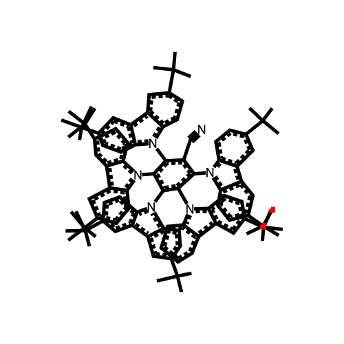 CC(C)(C)c1ccc2c(c1)c1cc(C(C)(C)C)ccc1n2-c1c(C#N)c(-n2c3ccc(C(C)(C)C)cc3c3cc(C(C)(C)C)ccc32)c(-n2c3ccc(C(C)(C)C)cc3c3cc(C(C)(C)C)ccc32)c(-n2c3ccc(C(C)(C)C)cc3c3cc(C(C)(C)C)ccc32)c1-n1c2ccccc2c2cc(C(C)(C)C)ccc21